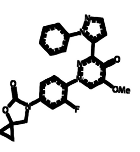 COc1cn(-c2ccc(N3CC4(CC4)OC3=O)cc2F)nc(-c2ccnn2-c2ccccc2)c1=O